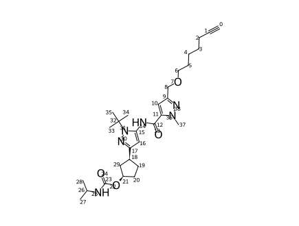 C#CCCCCCOCc1cc(C(=O)Nc2cc([C@H]3CC[C@@H](OC(=O)NC(C)C)C3)nn2C(C)(C)C)n(C)n1